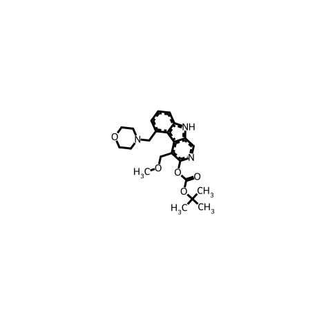 COCc1c(OC(=O)OC(C)(C)C)ncc2[nH]c3cccc(CN4CCOCC4)c3c12